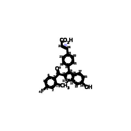 Cc1cc(F)ccc1C(=O)c1sc2cc(O)ccc2c1-c1ccc(/C=C/C(=O)O)cc1